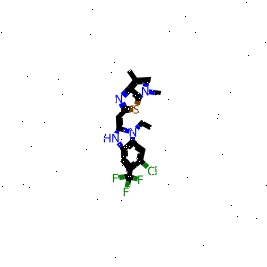 CCN1/C(=C\c2nc3c(C)cn(C)c3s2)Nc2cc(C(F)(F)F)c(Cl)cc21